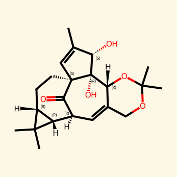 CC1=C[C@@]23CC[C@@H]4[C@H]([C@H](C=C5COC(C)(C)O[C@H]5[C@]2(O)[C@H]1O)C3=O)C4(C)C